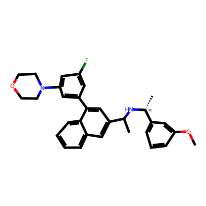 COc1cccc([C@@H](C)NC(C)c2cc(-c3cc(F)cc(N4CCOCC4)c3)c3ccccc3c2)c1